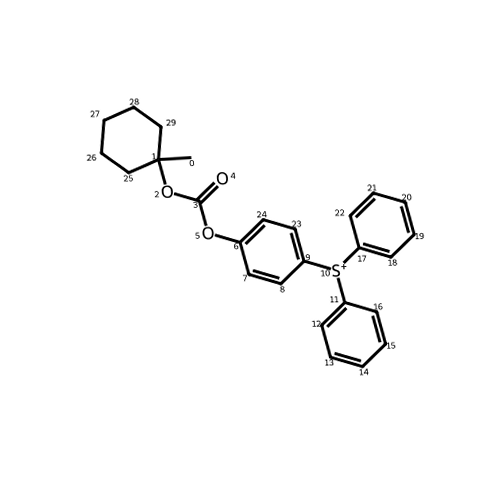 CC1(OC(=O)Oc2ccc([S+](c3ccccc3)c3ccccc3)cc2)CCCCC1